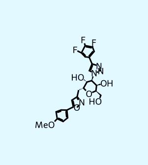 COc1ccc(-c2cc(C[C@H]3O[C@H](CO)[C@H](O)[C@H](n4cc(-c5cc(F)c(F)c(F)c5)nn4)[C@H]3O)no2)cc1